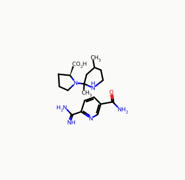 CC1CCNC(C)(N2CCC[C@H]2C(=O)O)C1.N=C(N)c1ccc(C(N)=O)cn1